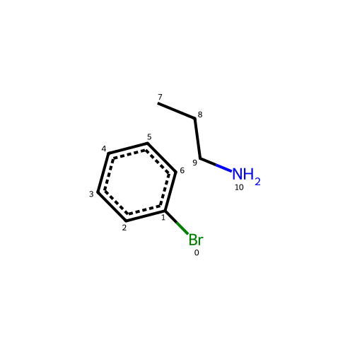 Brc1ccccc1.CCCN